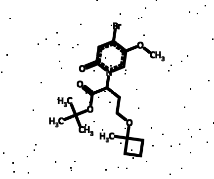 COc1cn(C(CCOC2(C)CCC2)C(=O)OC(C)(C)C)c(=O)cc1Br